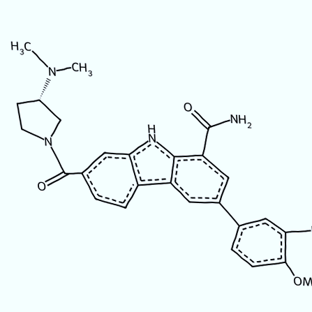 COc1ccc(-c2cc(C(N)=O)c3[nH]c4cc(C(=O)N5CC[C@H](N(C)C)C5)ccc4c3c2)cc1F